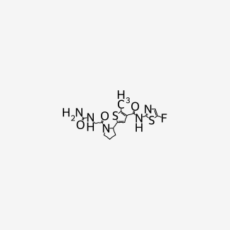 Cc1sc(C2CCCN2C(=O)CNC(N)=O)cc1C(=O)Nc1ncc(F)s1